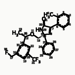 Cc1ccccc1C1=C[C@@](CO[C@H](C)c2cc(CF)cc(C(F)(F)F)c2)(c2ccccc2)NC1=O